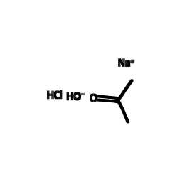 CC(C)=O.Cl.[Na+].[OH-]